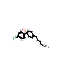 CCCCCC1=CCC(O)(c2ccc(F)cc2)CC1